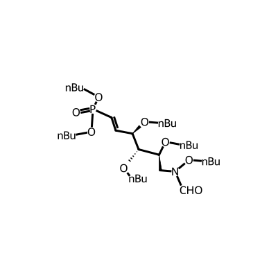 CCCCO[C@@H]([C@H](CN(C=O)OCCCC)OCCCC)[C@@H](/C=C/P(=O)(OCCCC)OCCCC)OCCCC